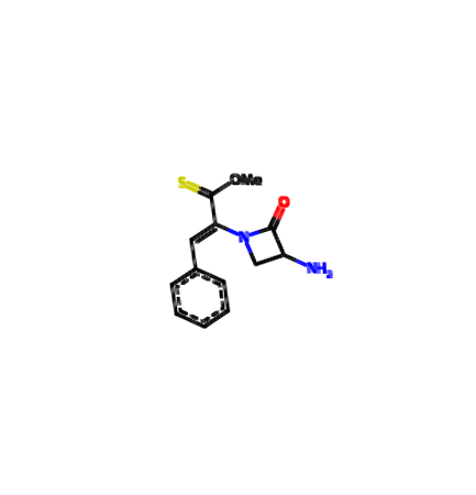 COC(=S)C(=Cc1ccccc1)N1CC(N)C1=O